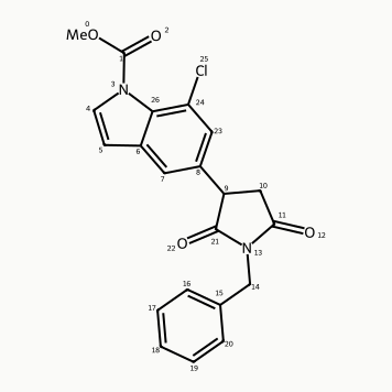 COC(=O)n1ccc2cc(C3CC(=O)N(Cc4ccccc4)C3=O)cc(Cl)c21